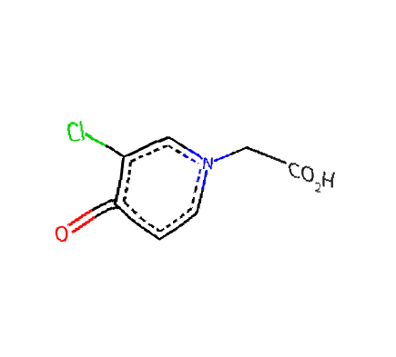 O=C(O)Cn1ccc(=O)c(Cl)c1